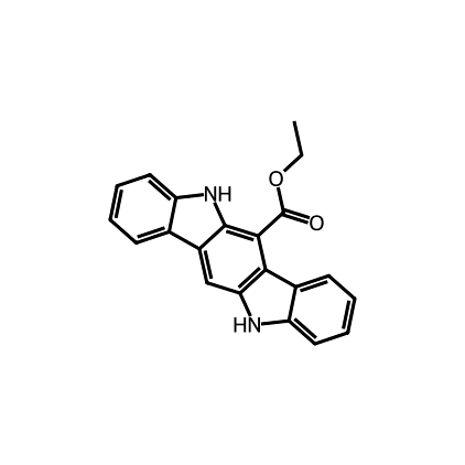 CCOC(=O)c1c2[nH]c3ccccc3c2cc2[nH]c3ccccc3c12